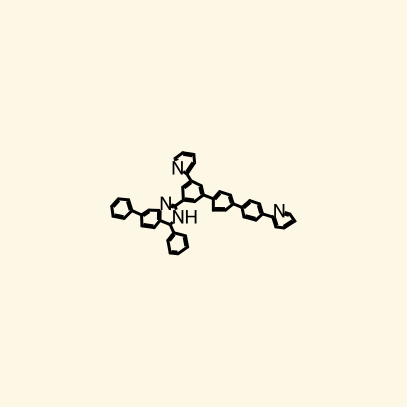 c1ccc(-c2ccc3c(c2)N=C(c2cc(-c4ccc(-c5ccc(-c6ccccn6)cc5)cc4)cc(-c4ccccn4)c2)NC3c2ccccc2)cc1